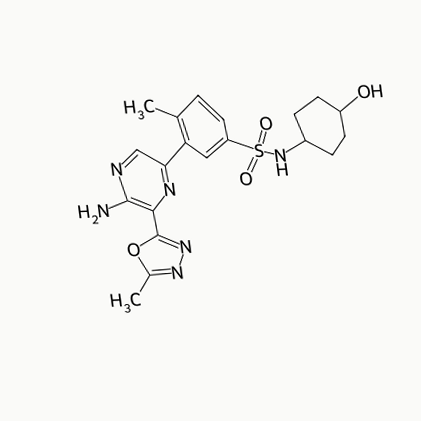 Cc1nnc(-c2nc(-c3cc(S(=O)(=O)NC4CCC(O)CC4)ccc3C)cnc2N)o1